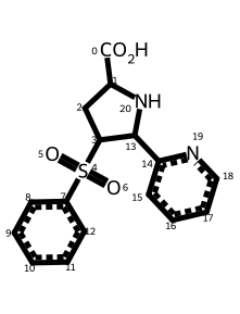 O=C(O)C1CC(S(=O)(=O)c2ccccc2)C(c2ccccn2)N1